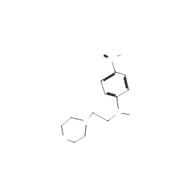 CN(CCN1CCOCC1)c1ccc([N+](=O)O)cc1